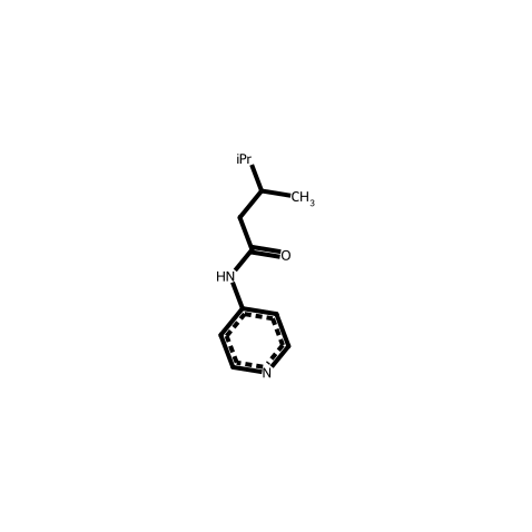 CC(C)C(C)CC(=O)Nc1ccncc1